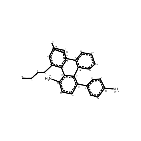 CCCCc1ccccc1-c1c(N)ccc(-c2ccc(N)cc2)c1-c1ccccc1CCCC